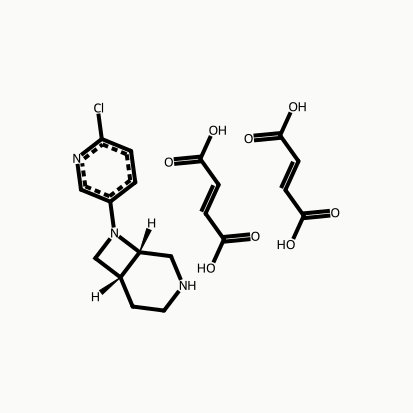 Clc1ccc(N2C[C@H]3CCNC[C@H]32)cn1.O=C(O)/C=C/C(=O)O.O=C(O)/C=C/C(=O)O